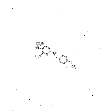 CCOC(=O)Nc1ccc(NCc2ccc(SC(F)(F)F)cc2)nc1N